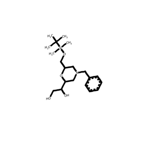 CC(C)(C)[Si](C)(C)OCC1CN(Cc2ccccc2)CC(C(O)CO)O1